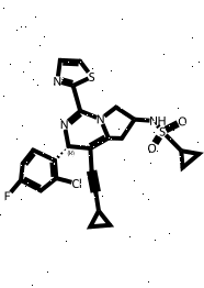 O=S(=O)(NC1CC2=C(C#CC3CC3)[C@H](c3ccc(F)cc3Cl)N=C(c3nccs3)N2C1)C1CC1